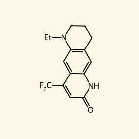 CCN1CCCc2cc3[nH]c(=O)cc(C(F)(F)F)c3cc21